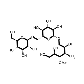 CO[C@@H]([C@H](C)[C@H](O)CO[C@@H]1O[C@H](CO[C@@H]2O[C@H](CO)[C@@H](O)[C@H](O)[C@H]2O)[C@@H](O)[C@H](O)[C@H]1O)[C@H](O)CO